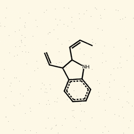 C=CC1c2ccccc2NC1/C=C\C